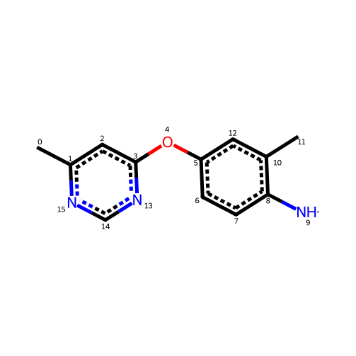 Cc1cc(Oc2ccc([NH])c(C)c2)ncn1